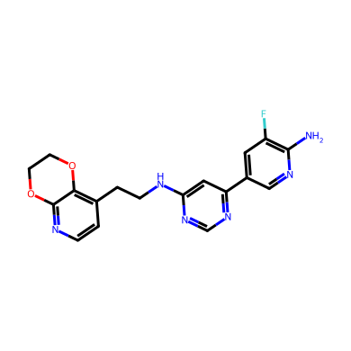 Nc1ncc(-c2cc(NCCc3ccnc4c3OCCO4)ncn2)cc1F